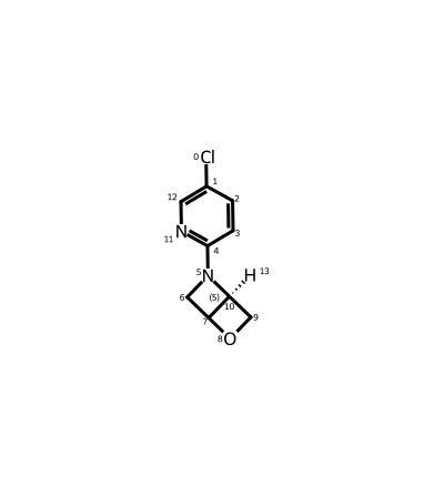 Clc1ccc(N2CC3OC[C@@H]32)nc1